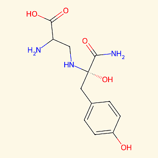 NC(=O)[C@@](O)(Cc1ccc(O)cc1)NCC(N)C(=O)O